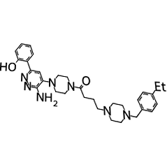 CCc1ccc(CN2CCN(CCCC(=O)N3CCN(c4cc(-c5ccccc5O)nnc4N)CC3)CC2)cc1